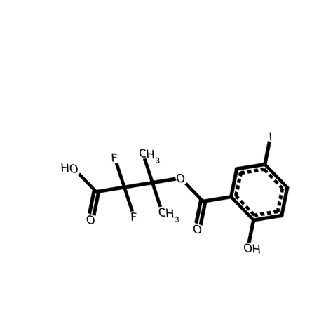 CC(C)(OC(=O)c1cc(I)ccc1O)C(F)(F)C(=O)O